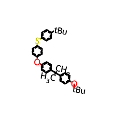 CC(C)(C)Oc1ccc(C(C)(C)c2ccc(Oc3ccc(Sc4ccc(C(C)(C)C)cc4)cc3)cc2)cc1